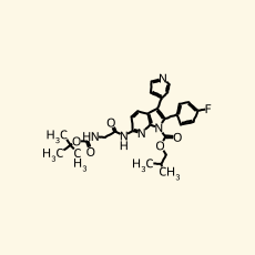 CC(C)COC(=O)n1c(-c2ccc(F)cc2)c(-c2ccncc2)c2ccc(NC(=O)CNC(=O)OC(C)(C)C)nc21